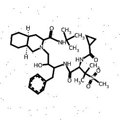 CC(C)(C)NC(=O)C1C[C@@H]2CCCC[C@@H]2CN1CC(O)C(Cc1ccccc1)NC(=O)[C@@H](NC(=O)C1CC1)C(C)(C)S(C)(=O)=O